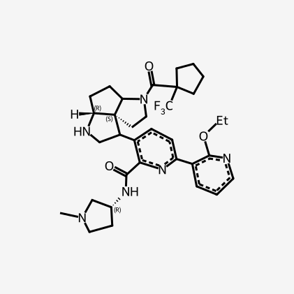 CCOc1ncccc1-c1ccc(C2CN[C@@H]3CCC4N(C(=O)C5(C(F)(F)F)CCCC5)CC[C@@]243)c(C(=O)N[C@@H]2CCN(C)C2)n1